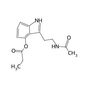 CCC(=O)Oc1cccc2[nH]cc(CCNC(C)=O)c12